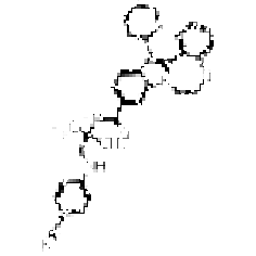 CC(C)(CNc1ccc(C#N)cc1)NC(=O)c1ccc2c(C3CCCCC3)c3n(c2c1)CCOc1ccccc1-3